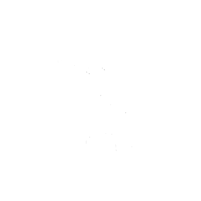 Cc1nn(C2CC2)cc1B1OC(C)(C)C(C)(C)O1